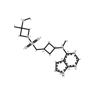 COC1(C)CN(S(=O)(=O)CC2CC(N(C)c3ncnc4[nH]ccc34)C2)C1